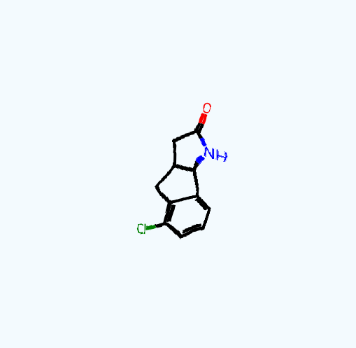 O=C1CC2Cc3c(Cl)cccc3C2N1